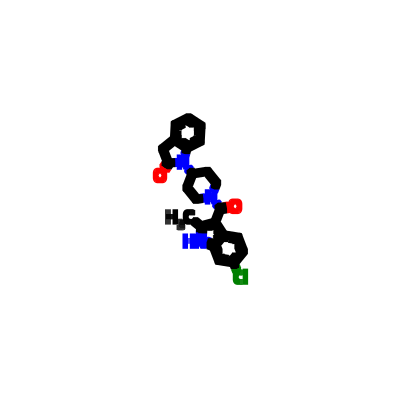 Cc1[nH]c2cc(Cl)ccc2c1C(=O)N1CCC(N2C(=O)Cc3ccccc32)CC1